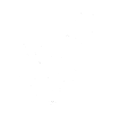 CCC1CC(=O)N(Cc2cccc(NC(=O)c3cccnc3)c2)N=C1c1ccc(OC)c(OC2CCCC2)c1